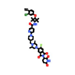 CC1CN(c2cc3c(cc2F)C(=O)N(C2CCC(=O)NC2=O)C3=O)CC(C)N1CC1CCN(c2ccc(C(=O)N[C@H]3C(C)(C)[C@H](Oc4ccc(C#N)c(Cl)c4)C3(C)C)cn2)CC1